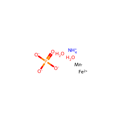 O.O.O=P([O-])([O-])[O-].[Fe+2].[Mn].[NH4+]